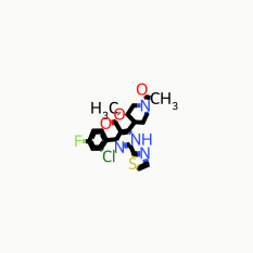 COC(=O)C1=C(C2CCN(C(C)=O)CC2)NC(c2nccs2)=NC1c1ccc(F)cc1Cl